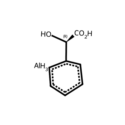 O=C(O)[C@H](O)c1ccccc1.[AlH3]